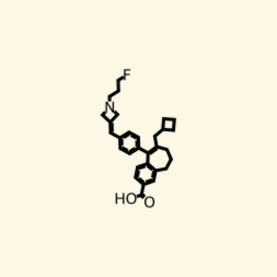 O=C(O)c1ccc2c(c1)CCCC(CC1CCC1)=C2c1ccc(C=C2CN(CCCF)C2)cc1